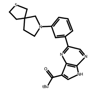 CC(C)(C)C(=O)c1c[nH]c2ncc(-c3cccc(N4CCC5(CCSC5)C4)c3)nc12